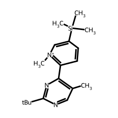 Cc1cnc(C(C)(C)C)nc1-c1ccc([Si](C)(C)C)c[n+]1C